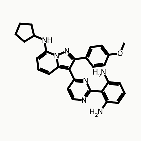 COc1ccc(-c2nn3c(NC4CCCC4)cccc3c2-c2ccnc(-c3c(N)cccc3N)n2)cc1